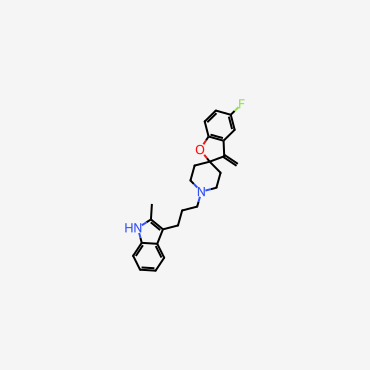 C=C1c2cc(F)ccc2OC12CCN(CCCc1c(C)[nH]c3ccccc13)CC2